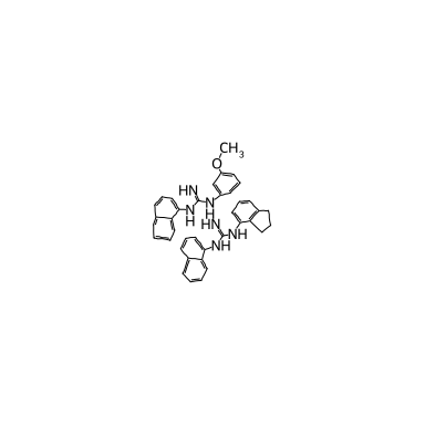 COc1cccc(NC(=N)Nc2cccc3ccccc23)c1.N=C(Nc1cccc2c1CCC2)Nc1cccc2ccccc12